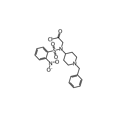 O=C(Cl)CN(C1CCN(Cc2ccccc2)CC1)S(=O)(=O)c1ccccc1[N+](=O)[O-]